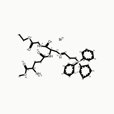 CCOC(=O)CNC(=O)C(C[SH]=CCC[P+](c1ccccc1)(c1ccccc1)c1ccccc1)NC(=O)CCC(N)C(=O)OC.[Br-]